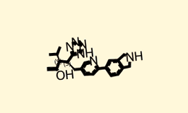 C=C(O)[C@@H](C(C)C)[C@H](Cc1ccc(-c2ccc3c(c2)CNC3)nc1)c1nnn[nH]1